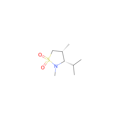 CC(C)[C@H]1[C@@H](C)CS(=O)(=O)N1C